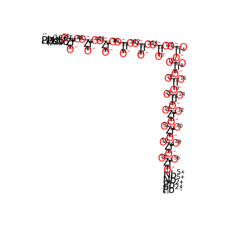 [Nb+5].[Nb+5].[Nb+5].[Nb+5].[O]=[Ti]([O-])[O-].[O]=[Ti]([O-])[O-].[O]=[Ti]([O-])[O-].[O]=[Ti]([O-])[O-].[O]=[Ti]([O-])[O-].[O]=[Ti]([O-])[O-].[O]=[Ti]([O-])[O-].[O]=[Zr]([O-])[O-].[O]=[Zr]([O-])[O-].[O]=[Zr]([O-])[O-].[O]=[Zr]([O-])[O-].[O]=[Zr]([O-])[O-].[O]=[Zr]([O-])[O-].[O]=[Zr]([O-])[O-].[Pb+2].[Pb+2].[Pb+2].[Pb+2]